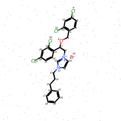 Clc1ccc(COC(C[n+]2ccn(CCCc3ccccc3)c2)c2ccc(Cl)cc2Cl)c(Cl)c1.[Br-]